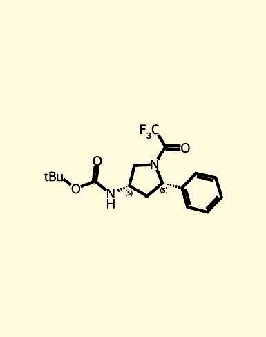 CC(C)(C)OC(=O)N[C@H]1C[C@@H](c2ccccc2)N(C(=O)C(F)(F)F)C1